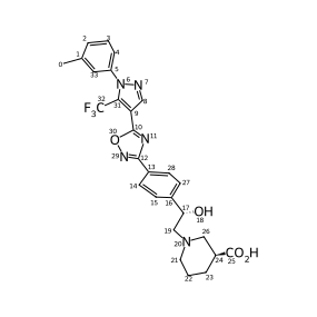 Cc1cccc(-n2ncc(-c3nc(-c4ccc([C@H](O)CN5CCC[C@H](C(=O)O)C5)cc4)no3)c2C(F)(F)F)c1